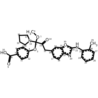 COC(Oc1ccc(C(=O)O)cc1)(C(=O)Cc1ccc2nc(Nc3ccccc3C)oc2c1)N1CCCC1